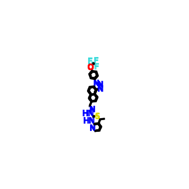 CCc1cccnc1NC(=S)N/N=C/c1ccc2c(ccc3c2nnn3-c2ccc(OC(F)(F)F)cc2)c1